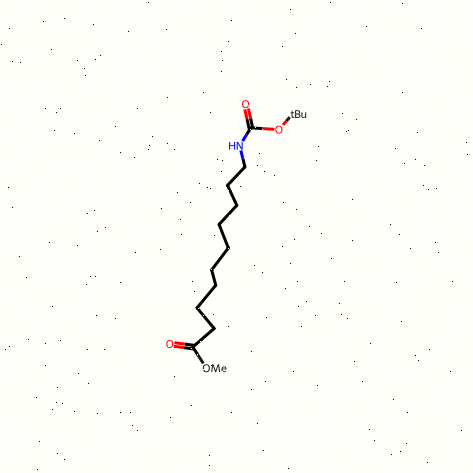 COC(=O)CCCCCCCCCNC(=O)OC(C)(C)C